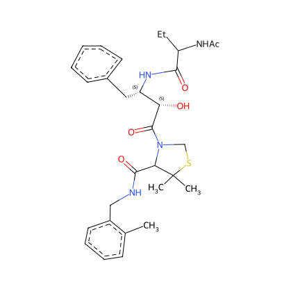 CCC(NC(C)=O)C(=O)N[C@@H](Cc1ccccc1)[C@H](O)C(=O)N1CSC(C)(C)C1C(=O)NCc1ccccc1C